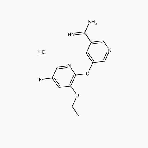 CCOc1cc(F)cnc1Oc1cncc(C(=N)N)c1.Cl